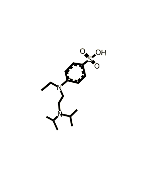 CCN(CCN(C(C)C)C(C)C)c1ccc(S(=O)(=O)O)cc1